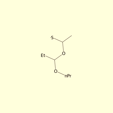 CCCOC(CC)OC(C)[S]